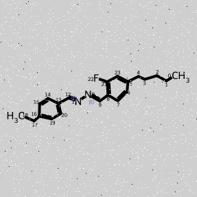 CCCCCc1ccc(/C=N/N=C/c2ccc(CC)cc2)c(F)c1